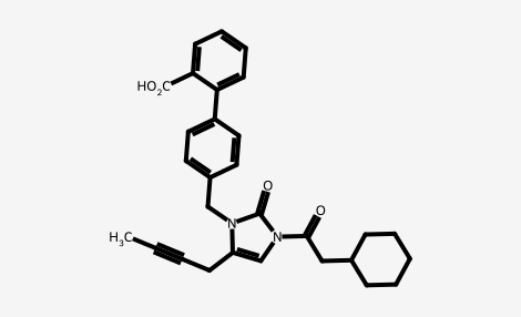 CC#CCc1cn(C(=O)CC2CCCCC2)c(=O)n1Cc1ccc(-c2ccccc2C(=O)O)cc1